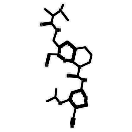 CC(C)Oc1cc(NC(=O)N2CCCc3cc(CNC(=O)C(C)N(C)C)c(C=O)nc32)ncc1C#N